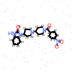 O=C(c1ccc([N+](=O)[O-])cc1)N1CCC(N2CCC(n3c(=O)[nH]c4ccccc43)CC2)CC1